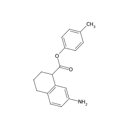 Cc1ccc(OC(=O)C2CCCc3ccc(N)cc32)cc1